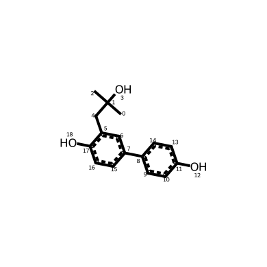 CC(C)(O)Cc1cc(-c2ccc(O)cc2)ccc1O